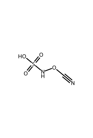 N#CONS(=O)(=O)O